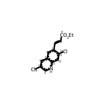 CCOC(=O)C=Cc1cc2cc(Cl)cnc2cc1Cl